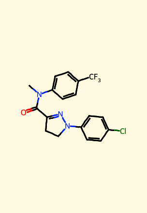 CN(C(=O)C1=NN(c2ccc(Cl)cc2)CC1)c1ccc(C(F)(F)F)cc1